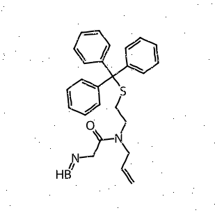 B=NCC(=O)N(CC=C)CCSC(c1ccccc1)(c1ccccc1)c1ccccc1